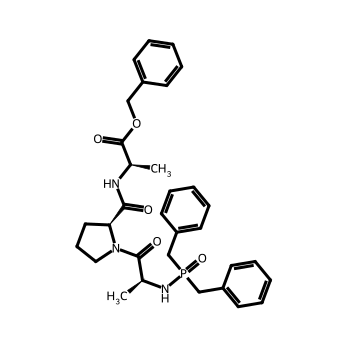 C[C@H](NP(=O)(Cc1ccccc1)Cc1ccccc1)C(=O)N1CCC[C@H]1C(=O)N[C@H](C)C(=O)OCc1ccccc1